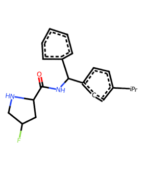 CC(C)c1ccc(C(NC(=O)C2CC(F)CN2)c2ccccc2)cc1